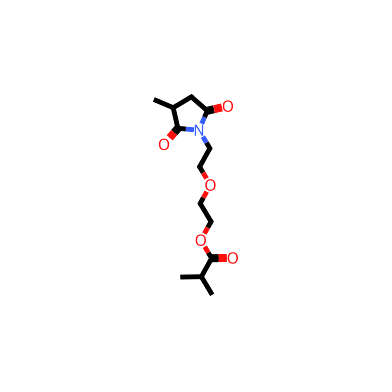 CC(C)C(=O)OCCOCCN1C(=O)CC(C)C1=O